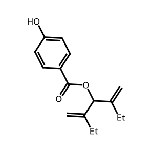 C=C(CC)C(OC(=O)c1ccc(O)cc1)C(=C)CC